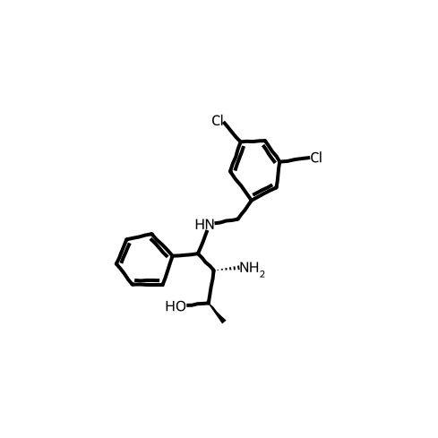 C[C@@H](O)[C@@H](N)C(NCc1cc(Cl)cc(Cl)c1)c1ccccc1